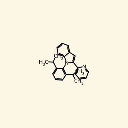 CC(C)c1cccc(C(C)C)c1-n1c(-c2ccccn2)cc2ccccc21